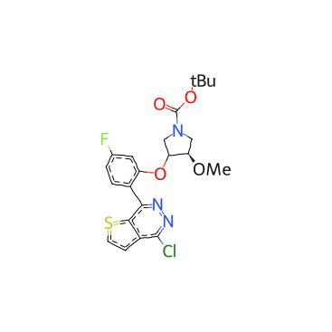 CO[C@@H]1CN(C(=O)OC(C)(C)C)CC1Oc1cc(F)ccc1-c1nnc(Cl)c2ccsc12